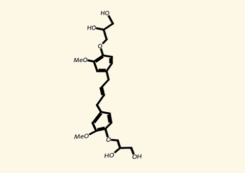 COc1cc(CC=CCc2ccc(OCC(O)CO)c(OC)c2)ccc1OCC(O)CO